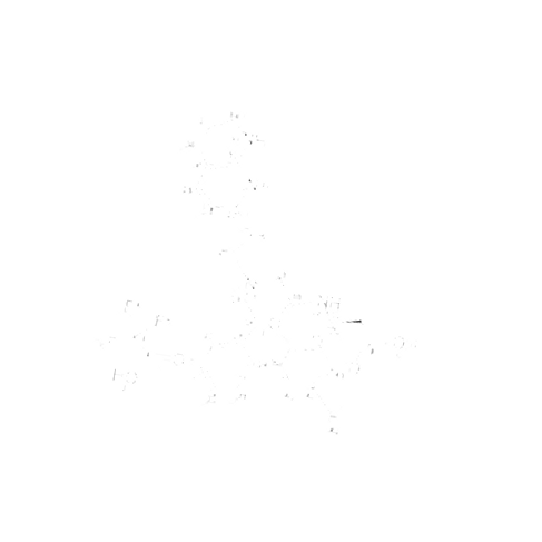 O=C(O)C(F)(F)F.O=C(O)C[C@H](NC(=O)CN(CCc1ccccc1)CCc1ccc2c(n1)NCCC2)c1cccc(F)c1